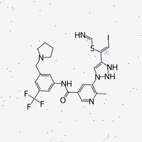 Cc1ncc(C(=O)Nc2cc(CN3CCCC3)cc(C(F)(F)F)c2)cc1N1C=C(/C(=C/I)SC=N)NN1